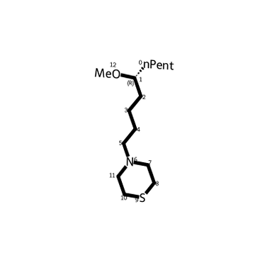 CCCCC[C@H](CCCCN1CCSCC1)OC